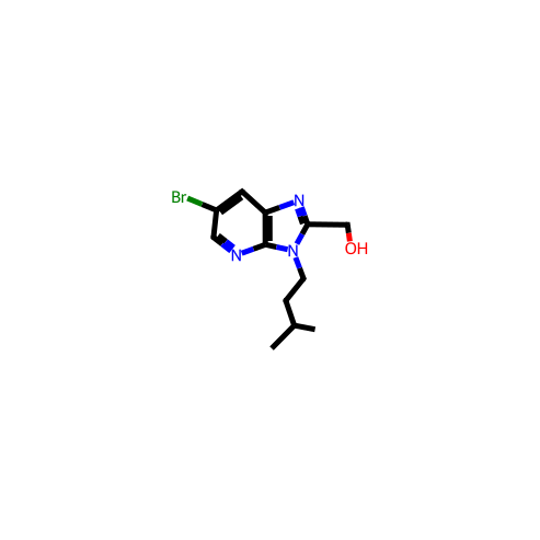 CC(C)CCn1c(CO)nc2cc(Br)cnc21